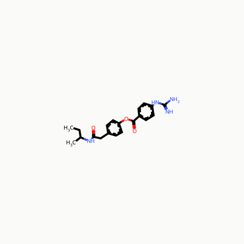 CCC(C)NC(=O)Cc1ccc(OC(=O)c2ccc(NC(=N)N)cc2)cc1